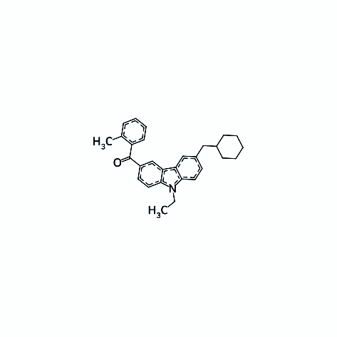 CCn1c2ccc(CC3CCCCC3)cc2c2cc(C(=O)c3ccccc3C)ccc21